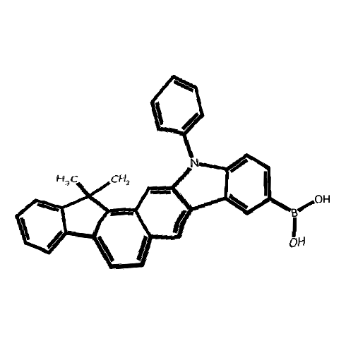 CC1(C)c2ccccc2-c2ccc3cc4c5cc(B(O)O)ccc5n(-c5ccccc5)c4cc3c21